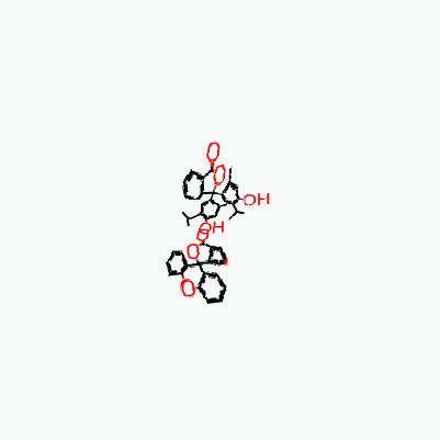 Cc1cc(O)c(C(C)C)cc1C1(c2cc(C(C)C)c(O)cc2C)OC(=O)c2ccccc21.O=C1OC2(c3ccccc3Oc3ccccc32)c2ccccc21